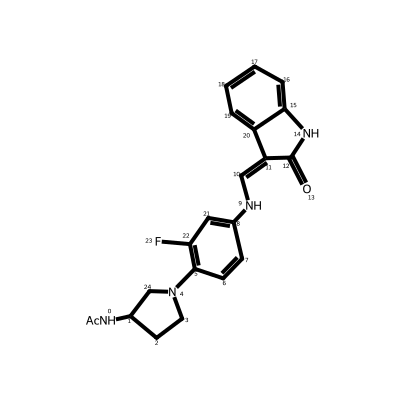 CC(=O)NC1CCN(c2ccc(NC=C3C(=O)Nc4ccccc43)cc2F)C1